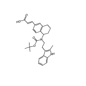 Cc1[nH]c2ccccc2c1CCN(C(=O)OC(C)(C)C)C1CCCc2cc(/C=C/C(=O)O)ccc21